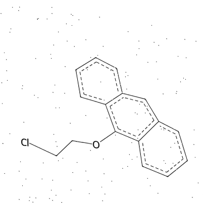 ClCCOc1c2ccccc2cc2ccccc12